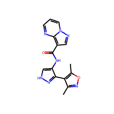 Cc1noc(C)c1-c1n[nH]cc1NC(=O)c1cnn2cccnc12